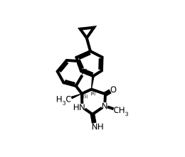 CN1C(=N)N[C@](C)(c2ccccn2)[C@@H](c2ccc(C3CC3)cc2)C1=O